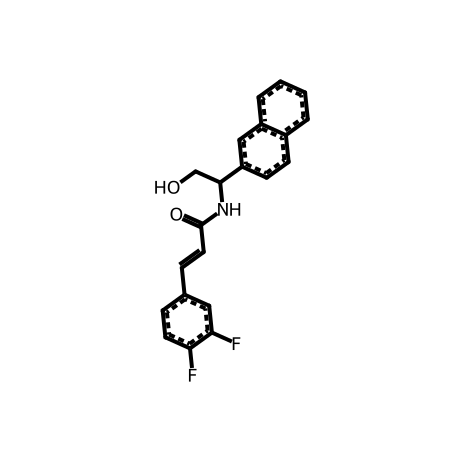 O=C(/C=C/c1ccc(F)c(F)c1)NC(CO)c1ccc2ccccc2c1